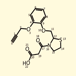 C#CCOc1ccccc1OCC1SCCN1C(=O)CC(=O)O